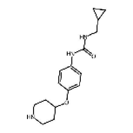 O=C(NCC1CC1)Nc1ccc(OC2CCNCC2)cc1